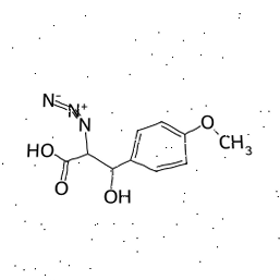 COc1ccc(C(O)C(N=[N+]=[N-])C(=O)O)cc1